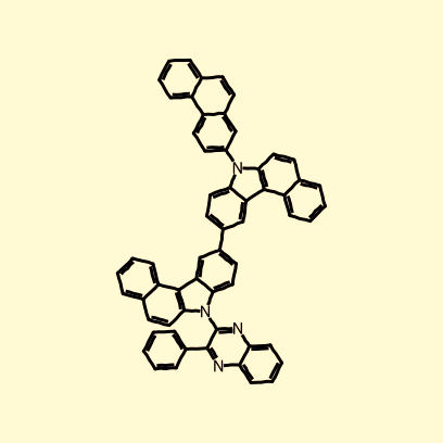 c1ccc(-c2nc3ccccc3nc2-n2c3ccc(-c4ccc5c(c4)c4c6ccccc6ccc4n5-c4ccc5c(ccc6ccccc65)c4)cc3c3c4ccccc4ccc32)cc1